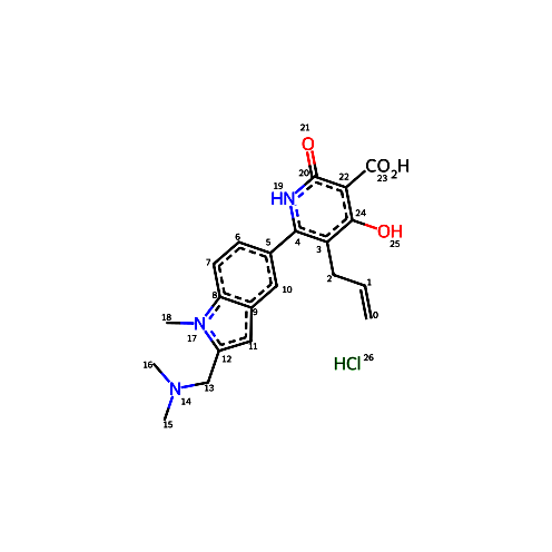 C=CCc1c(-c2ccc3c(c2)cc(CN(C)C)n3C)[nH]c(=O)c(C(=O)O)c1O.Cl